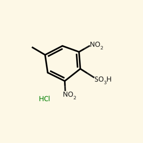 Cc1cc([N+](=O)[O-])c(S(=O)(=O)O)c([N+](=O)[O-])c1.Cl